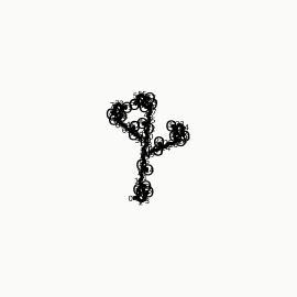 C=C1CCC(=O)N1OC(=O)CCCC(=O)OCCN(CCOC(=O)CCCC(=O)ON1C(=O)CCC1=O)CCN(CCOC(=O)CCCC(=O)ON1C(=O)CCC1=O)CCOC(=O)CCCC(=O)ON1C(=O)CCC1=O